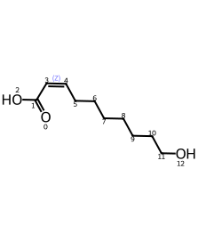 O=C(O)/C=C\CCCCCCCO